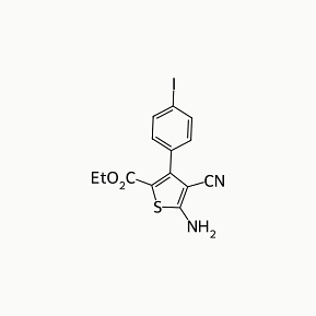 CCOC(=O)c1sc(N)c(C#N)c1-c1ccc(I)cc1